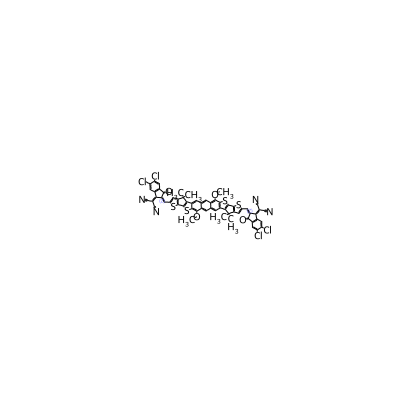 COc1c2cc3cc4c5c(sc4c(OC)c3cc2cc2c3c(sc12)-c1sc(/C=C2\C(=O)c4cc(Cl)c(Cl)cc4C2=C(C#N)C#N)cc1C3(C)C)-c1sc(/C=C2\C(=O)c3cc(Cl)c(Cl)cc3C2=C(C#N)C#N)cc1C5(C)C